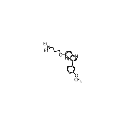 CCN(CC)CCCOc1ccc2ncc(-c3cccc(OC(F)(F)F)c3)n2n1